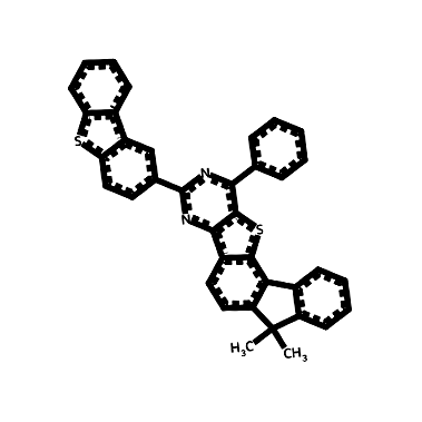 CC1(C)c2ccccc2-c2c1ccc1c2sc2c(-c3ccccc3)nc(-c3ccc4sc5ccccc5c4c3)nc21